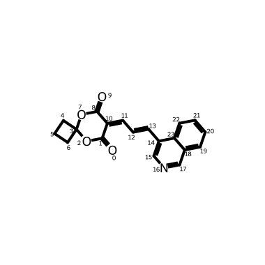 O=C1OC2(CCC2)OC(=O)C1=CC=Cc1cncc2ccccc12